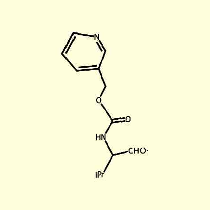 CC(C)C([C]=O)NC(=O)OCc1cccnc1